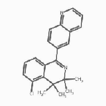 CC1(C)N=C(c2ccc3ncccc3c2)c2cccc(Cl)c2C1(C)C